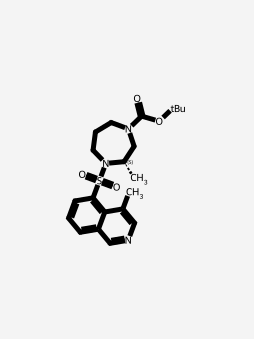 Cc1cncc2cccc(S(=O)(=O)N3CCCN(C(=O)OC(C)(C)C)C[C@@H]3C)c12